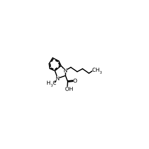 CCCCCN1c2ccccc2N(C)C1C(=O)O